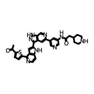 CC(=O)c1ccc(-c2nccc3[nH]c(-c4n[nH]c5cnc(-c6cncc(NC(=O)CC7CCNCC7)c6)cc45)cc23)s1